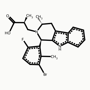 Cc1c(Br)ccc(F)c1[C@@H]1c2[nH]c3ccccc3c2C[C@@H](C)N1C[C@H](C)C(=O)O